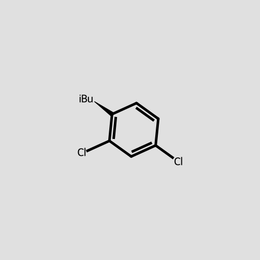 CC[C@H](C)c1ccc(Cl)cc1Cl